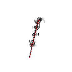 CCCCCCCCCCCCCCCC(=O)N[C@@H](CCC(=O)NCCOCCOCC(=O)NCCOCCOCC(=O)NCCCC[C@H](NC)C(=O)CN[C@@H](CO)C(N)=O)C(=O)O